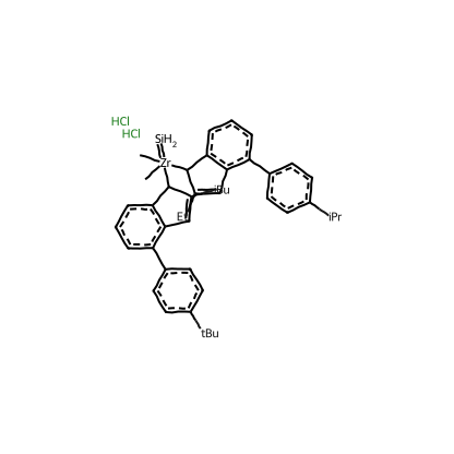 CCC1=Cc2c(-c3ccc(C(C)C)cc3)cccc2[CH]1[Zr]([CH3])([CH3])(=[SiH2])[CH]1C(C(C)CC)=Cc2c(-c3ccc(C(C)(C)C)cc3)cccc21.Cl.Cl